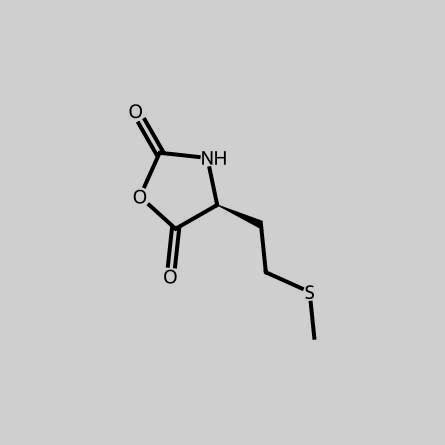 CSCC[C@@H]1NC(=O)OC1=O